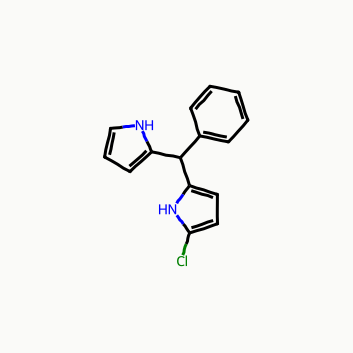 Clc1ccc(C(c2ccccc2)c2ccc[nH]2)[nH]1